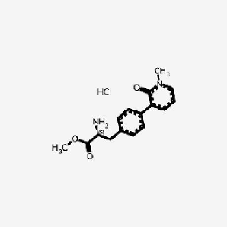 COC(=O)[C@@H](N)Cc1ccc(-c2cccn(C)c2=O)cc1.Cl